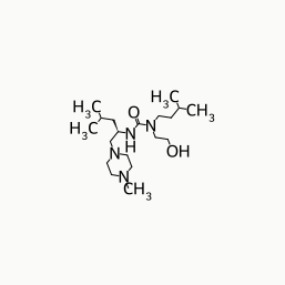 CC(C)CCN(CCO)C(=O)N[C@H](CC(C)C)CN1CCN(C)CC1